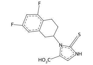 O=C(O)c1c[nH]c(=S)n1C1CCc2c(F)cc(F)cc2C1